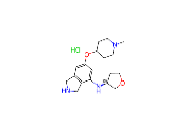 CN1CCC(Oc2cc3c(c(N[C@H]4CCOC4)c2)CNC3)CC1.Cl